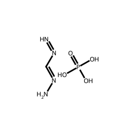 N=NC=NN.O=P(O)(O)O